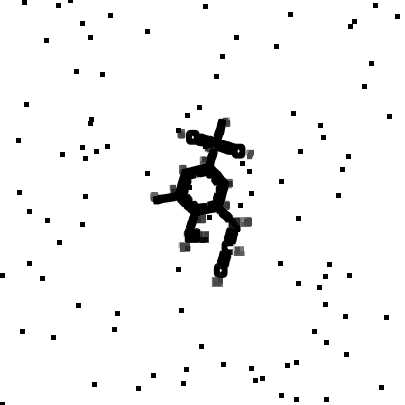 Cc1cc(S(C)(=O)=O)cc(N=C=O)c1C(C)(C)C